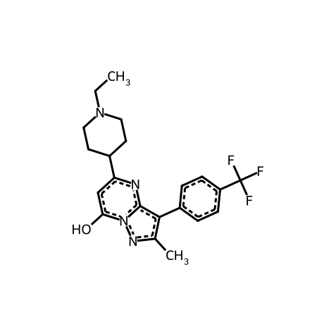 CCN1CCC(c2cc(O)n3nc(C)c(-c4ccc(C(F)(F)F)cc4)c3n2)CC1